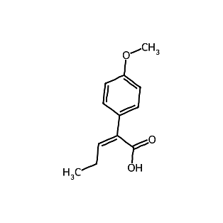 CCC=C(C(=O)O)c1ccc(OC)cc1